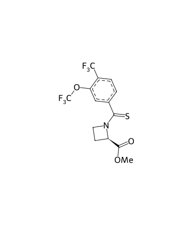 COC(=O)[C@H]1CCN1C(=S)c1ccc(C(F)(F)F)c(OC(F)(F)F)c1